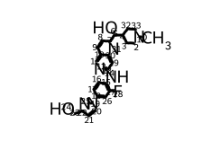 CN1CCC(C(O)c2ccc3cnc(Nc4ccc(-n5ccc(CO)n5)cc4F)cc3n2)CC1